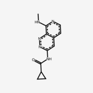 CNc1nccc2cc(NC(=O)C3CC3)nnc12